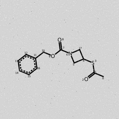 CC(=O)SC1CN(C(=O)OCc2ccccc2)C1